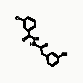 O=C(Cc1cccc(O)c1)NNC(=O)c1cccc(Cl)c1